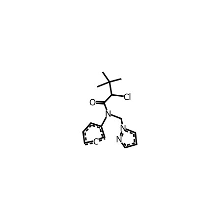 CC(C)(C)C(Cl)C(=O)N(Cn1cccn1)c1ccccc1